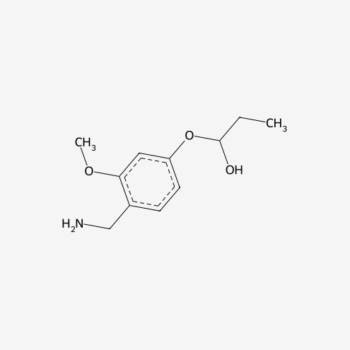 CCC(O)Oc1ccc(CN)c(OC)c1